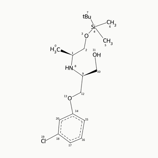 C[C@@H](CO[Si](C)(C)C(C)(C)C)N[C@@H](CO)COc1cccc(Cl)c1